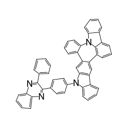 c1ccc(-c2nc3ccccc3nc2-c2ccc(-n3c4ccccc4c4cc5c(cc43)-c3ccccc3-n3c4ccccc4c4cccc-5c43)cc2)cc1